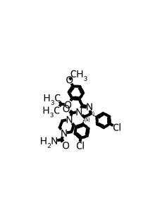 COc1ccc(C2=N[C@H](c3ccc(Cl)cc3)[C@H](c3ccc(Cl)cc3)N2C(=O)N2CCN(C(N)=O)CC2)c(OC(C)C)c1